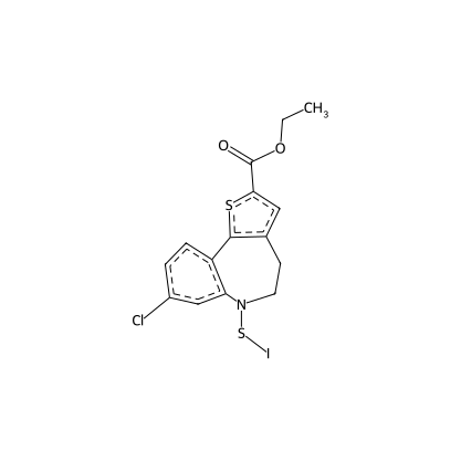 CCOC(=O)c1cc2c(s1)-c1ccc(Cl)cc1N(SI)CC2